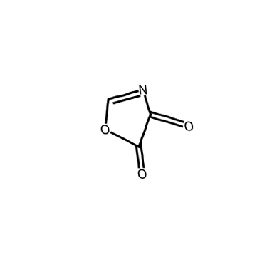 O=C1N=COC1=O